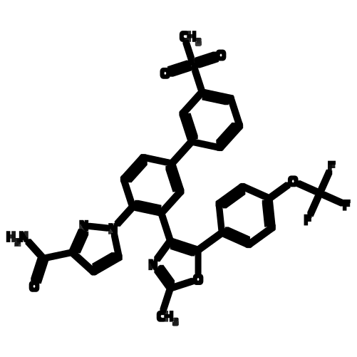 Cc1nc(-c2cc(-c3cccc(S(C)(=O)=O)c3)ccc2-n2ccc(C(N)=O)n2)c(-c2ccc(OC(F)(F)F)cc2)o1